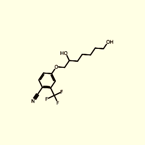 N#Cc1ccc(OCC(O)CCCCCO)cc1C(F)(F)F